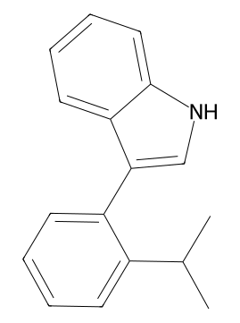 CC(C)c1ccccc1-c1c[nH]c2ccccc12